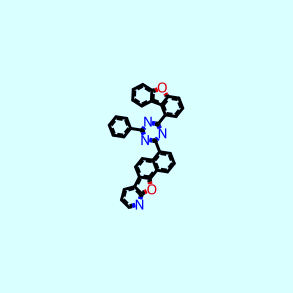 c1ccc(-c2nc(-c3cccc4c3ccc3c5cccnc5oc43)nc(-c3cccc4oc5ccccc5c34)n2)cc1